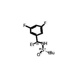 CC[C@H](N[S@@+]([O-])C(C)(C)C)c1cc(F)cc(F)c1